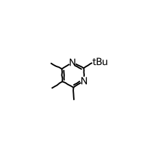 Cc1nc(C(C)(C)C)nc(C)c1C